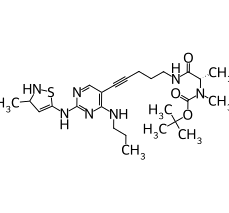 CCCNc1nc(NC2=CC(C)NS2)ncc1C#CCCCNC(=O)[C@H](C)N(C)C(=O)OC(C)(C)C